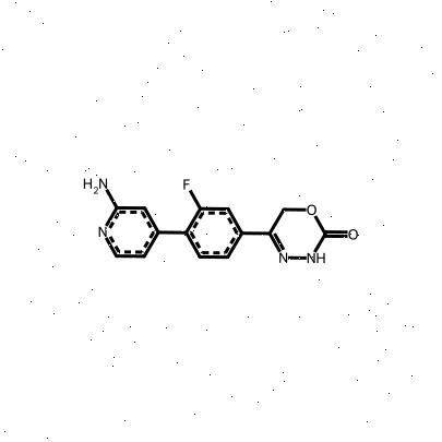 Nc1cc(-c2ccc(C3=NNC(=O)OC3)cc2F)ccn1